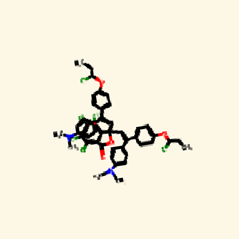 CCC(Cl)Oc1ccc(/C(=C/C2(/C=C(/c3ccc(OC(Cl)CC)cc3)c3ccc(N(C)C)cc3)OC(=O)c3c(Cl)c(Cl)c(Cl)c(Cl)c32)c2ccc(N(C)C)cc2)cc1